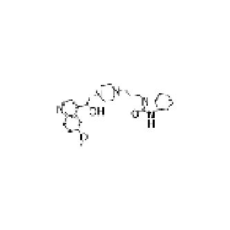 COc1ccc2nccc([C@@H](O)CN3CCN(CCCN4C(=O)NC5CC=CC=C54)CC3)c2c1